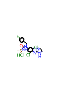 Cl.O=C(NS)N(Cc1ccc(F)cc1)c1cc(Cl)c(N=C2NCCN2)c(Cl)c1